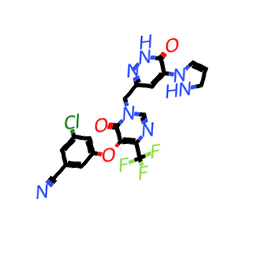 N#Cc1cc(Cl)cc(Oc2c(C(F)(F)F)ncn(Cc3cc(N4C=CCN4)c(=O)[nH]n3)c2=O)c1